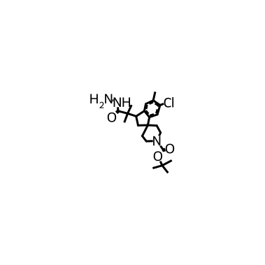 Cc1cc2c(cc1Cl)C1(CCN(C(=O)OC(C)(C)C)CC1)CC2C(C)(C)C(=O)NN